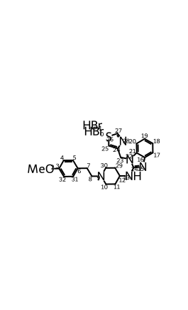 Br.Br.COc1ccc(CCN2CCC(Nc3nc4ccccc4n3Cc3cscn3)CC2)cc1